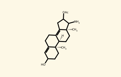 CC(=O)OC1CC2=C3CCC4=CC(O)CC[C@]4(C)[C@@H]3CC[C@]2(C)C1N